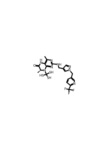 Cc1nc(NCc2cnn(Cc3ccc(C(F)(F)F)nc3)c2)nc2c1NC(=O)[C@H](C)N2C(S)(S)S